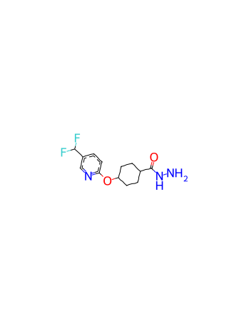 NNC(=O)C1CCC(Oc2ccc(C(F)F)cn2)CC1